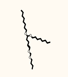 CCCCCCCCOC(CCC=COCOCCCC)OCCCCCCCC